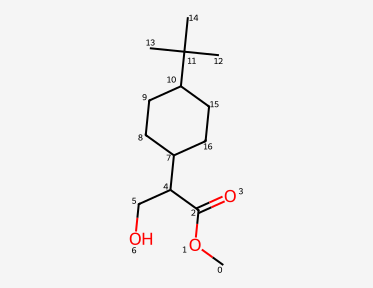 COC(=O)C(CO)C1CCC(C(C)(C)C)CC1